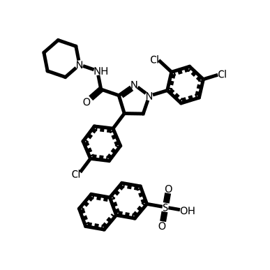 O=C(NN1CCCCC1)C1=NN(c2ccc(Cl)cc2Cl)CC1c1ccc(Cl)cc1.O=S(=O)(O)c1ccc2ccccc2c1